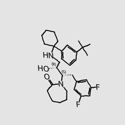 CC(C)(C)c1cccc(C2(NC[C@@H](O)[C@H](Cc3cc(F)cc(F)c3)N3CCCCCC3=O)CCCCC2)c1